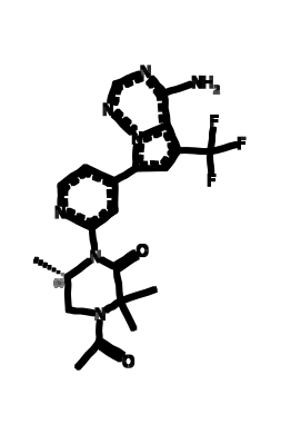 CC(=O)N1C[C@H](C)N(c2cc(-c3cc(C(F)(F)F)c4c(N)ncnn34)ccn2)C(=O)C1(C)C